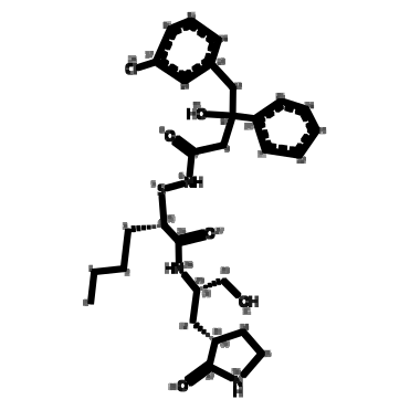 CCCC[C@H](SNC(=O)CC(O)(Cc1cccc(Cl)c1)c1ccccc1)C(=O)N[C@H](CO)C[C@@H]1CCNC1=O